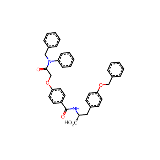 O=C(N[C@@H](Cc1ccc(OCc2ccccc2)cc1)C(=O)O)c1ccc(OCC(=O)N(Cc2ccccc2)c2ccccc2)cc1